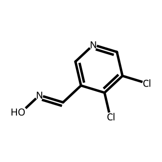 O/N=C/c1cncc(Cl)c1Cl